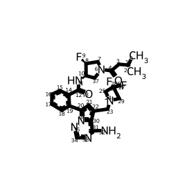 CC(C)CC(=O)N1C[C@H](F)[C@H](NC(=O)c2ccccc2-c2cc(CN3CC(F)(F)C3)c3c(N)ncnn23)C1